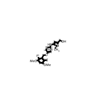 COc1cc(OC)c(F)c(COC2=CNC(Nc3cc(CO)nn3C)N=C2)c1F